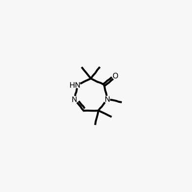 CN1C(=O)C(C)(C)NN=CC1(C)C